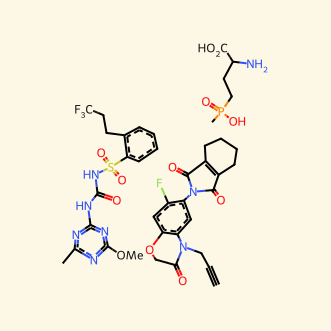 C#CCN1C(=O)COc2cc(F)c(N3C(=O)C4=C(CCCC4)C3=O)cc21.COc1nc(C)nc(NC(=O)NS(=O)(=O)c2ccccc2CCC(F)(F)F)n1.CP(=O)(O)CCC(N)C(=O)O